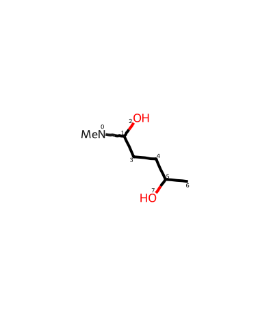 CNC(O)CCC(C)O